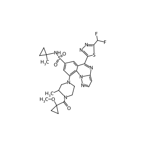 COC1(C(=O)N2CCN(c3cc(S(=O)(=O)NC4(C)CC4)cc4c(-c5nnc(C(F)F)s5)nc5ccnn5c34)CC2C)CC1